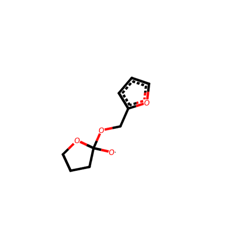 [O]C1(OCc2ccco2)CCCO1